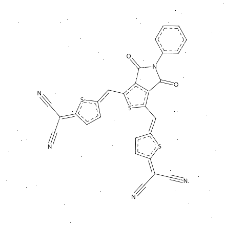 N#CC(C#N)=c1cc/c(=C\c2sc(/C=c3\ccc(=C(C#N)C#N)s3)c3c2C(=O)N(c2ccccc2)C3=O)s1